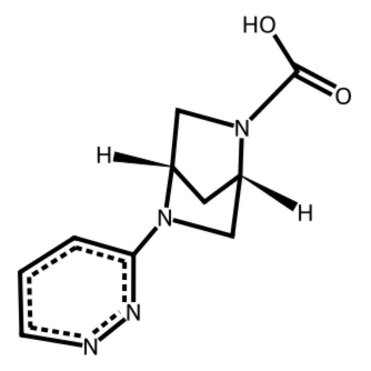 O=C(O)N1C[C@@H]2C[C@H]1CN2c1cccnn1